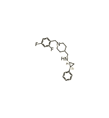 Fc1ccc(CN2CCC(CN[C@@H]3C[C@H]3c3ccccc3)CC2)c(F)c1